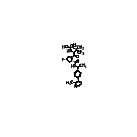 Cc1ncsc1-c1ccc(C(C)NC(=O)[C@@H]2C[C@H](F)CN2C(=O)C(NC(=O)O)C(C)(C)C)cc1